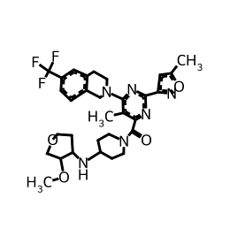 COC1COCCC1NC1CCN(C(=O)c2nc(-c3cc(C)on3)nc(N3CCc4cc(C(F)(F)F)ccc4C3)c2C)CC1